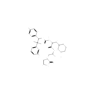 CC(C)(c1cccc(Cl)c1)C(OC(=O)NC(CC1CCCCC1)C(=O)NC(C[C@@H]1CCNC1=O)C(=O)O)c1ccc(F)cc1